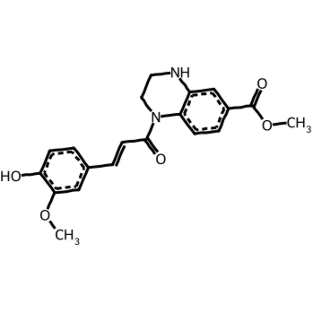 COC(=O)c1ccc2c(c1)NCCN2C(=O)C=Cc1ccc(O)c(OC)c1